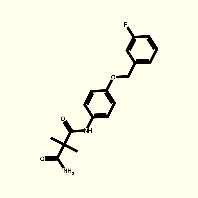 CC(C)(C(N)=O)C(=O)Nc1ccc(OCc2cccc(F)c2)cc1